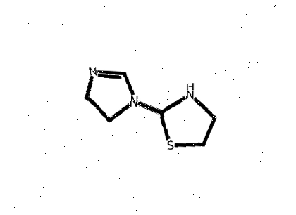 C1=NCCN1[C]1NCCS1